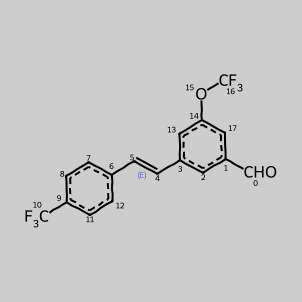 O=Cc1cc(/C=C/c2ccc(C(F)(F)F)cc2)cc(OC(F)(F)F)c1